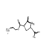 CCOC(=O)N1CC(C(=O)O)NC1=O